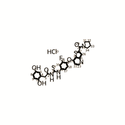 Cl.O=C(Cc1cc(O)ccc1O)NC(=S)Nc1ccc(Oc2ccnc3cc(C(=O)N4CCCC4)sc23)c(F)c1